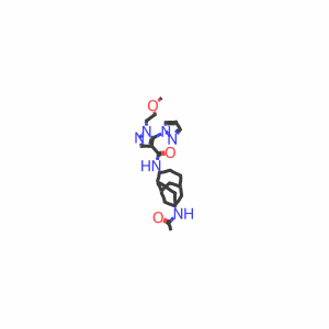 COCCn1ncc(C(=O)N[C@H]2CCC3CC4C[C@@](NC(C)=O)(C3)CC42)c1-n1cccn1